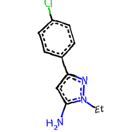 CCn1nc(-c2ccc(Cl)cc2)cc1N